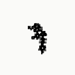 CN(C)C(=O)C1(N2Cc3cc(Cl)ccc3-n3c(nnc3C3CC4(C3)CN(c3ncc(F)cn3)C4)C2)CC1